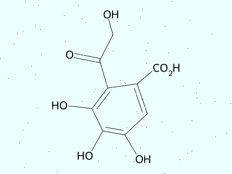 O=C(O)c1cc(O)c(O)c(O)c1C(=O)CO